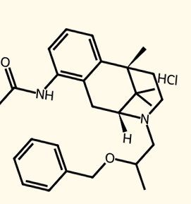 CC(=O)Nc1cccc2c1C[C@H]1N(CC(C)OCc3ccccc3)CC[C@]2(C)C1(C)C.Cl